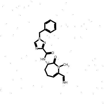 CN1C(=O)[C@@H](NC(=O)c2ncn(Cc3ccccc3)n2)CCC=C1C=N